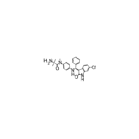 CN(C(=O)C(C)(C)N)c1ccc(N/C(=C2\C(=O)Nc3cc(Cl)ccc32)c2ccccc2)cc1